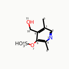 Cc1cnc(C)c(OS(=O)(=O)O)c1CO